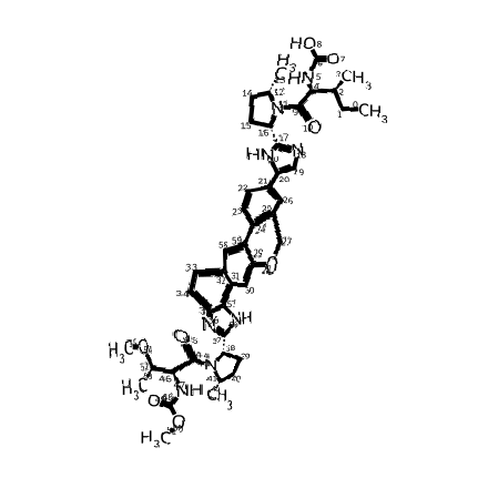 CC[C@H](C)[C@H](NC(=O)O)C(=O)N1[C@@H](C)CC[C@H]1c1ncc(-c2ccc3c(c2)COc2cc4c(ccc5nc([C@@H]6CC[C@H](C)N6C(=O)[C@@H](NC(=O)OC)[C@@H](C)OC)[nH]c54)cc2-3)[nH]1